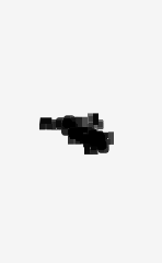 CCn1c(=O)c(Cl)cc2c(C)nc(Nc3cc(OC(=O)OC)n(C)c3)nc21